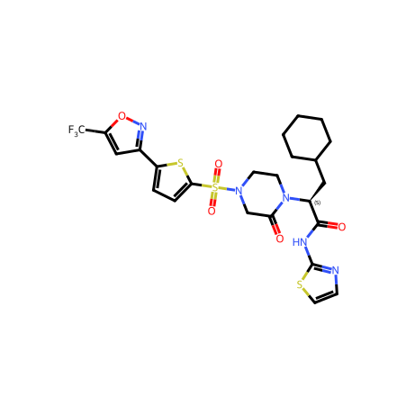 O=C(Nc1nccs1)[C@H](CC1CCCCC1)N1CCN(S(=O)(=O)c2ccc(-c3cc(C(F)(F)F)on3)s2)CC1=O